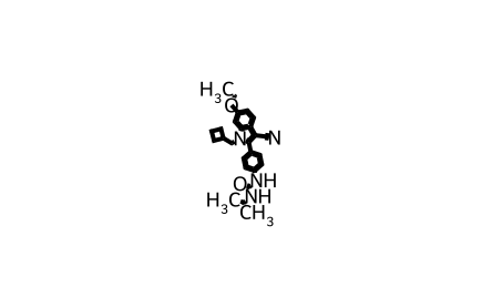 CCOc1ccc2c(C#N)c(-c3ccc(NC(=O)NC(C)C)cc3)n(CC3CCC3)c2c1